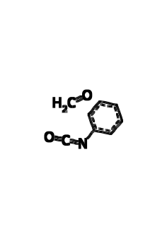 C=O.O=C=Nc1ccccc1